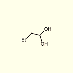 CC[CH]C(O)O